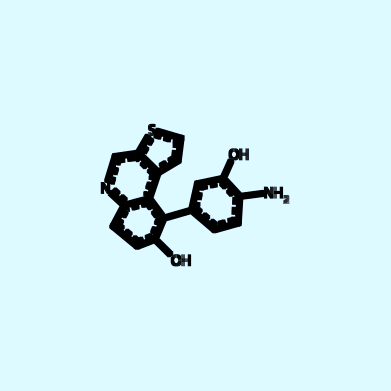 Nc1ccc(-c2c(O)ccc3ncc4sccc4c23)cc1O